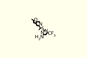 Cc1cc2cc(C(C)Sc3nc(N)cc(C(F)(F)F)n3)ncc2o1